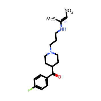 CS/C(=C\[N+](=O)[O-])NCCCN1CCC(C(=O)c2ccc(F)cc2)CC1